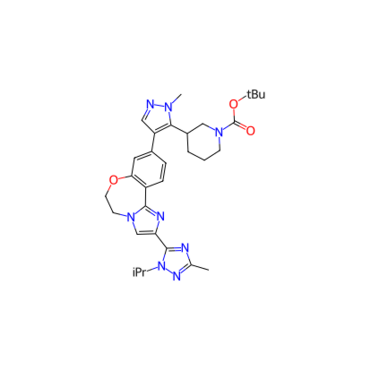 Cc1nc(-c2cn3c(n2)-c2ccc(-c4cnn(C)c4C4CCCN(C(=O)OC(C)(C)C)C4)cc2OCC3)n(C(C)C)n1